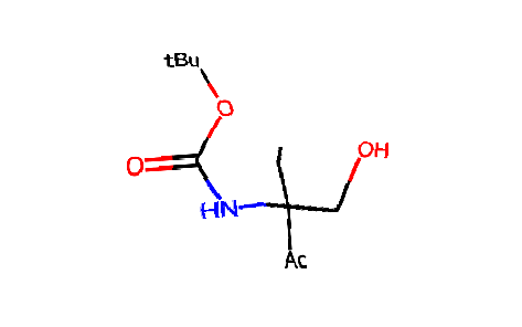 CC(=O)C(C)(CO)NC(=O)OC(C)(C)C